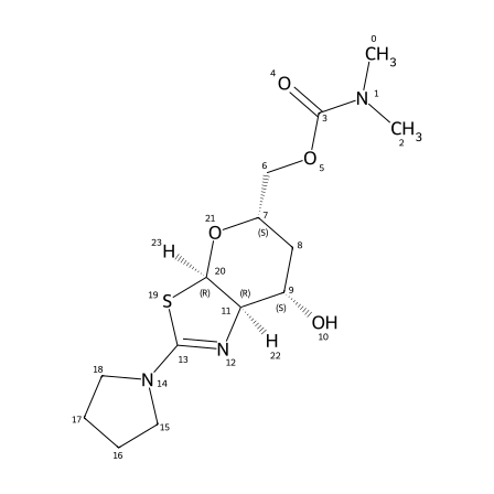 CN(C)C(=O)OC[C@@H]1C[C@H](O)[C@H]2N=C(N3CCCC3)S[C@H]2O1